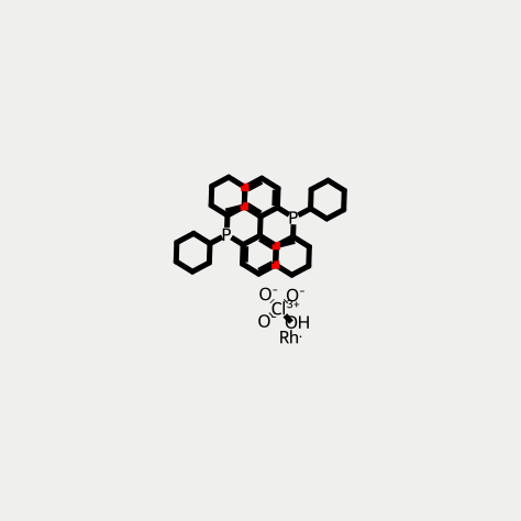 Cc1cccc(P(C2CCCCC2)C2CCCCC2)c1-c1c(C)cccc1P(C1CCCCC1)C1CCCCC1.[O-][Cl+3]([O-])([O-])O.[Rh]